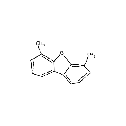 Cc1cccc2c1oc1c(C)cccc12